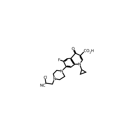 N#CC(Cl)CN1CCN(c2cc3c(cc2F)c(=O)c(C(=O)O)cn3C2CC2)CC1